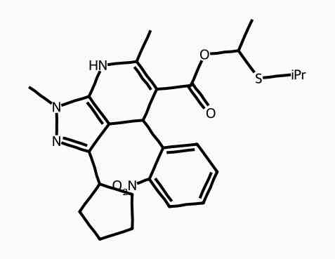 CC1=C(C(=O)OC(C)SC(C)C)C(c2ccccc2[N+](=O)[O-])c2c(C3CCCC3)nn(C)c2N1